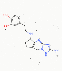 CCNC1=NC2=NC3=C(CCC3NCCc3ccc(O)c(O)c3)CN2N1